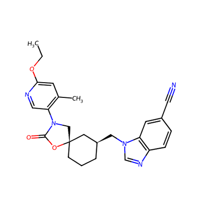 CCOc1cc(C)c(N2C[C@@]3(CCC[C@H](Cn4cnc5ccc(C#N)cc54)C3)OC2=O)cn1